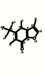 Cc1c(C(F)(F)F)n(C)c2c(C)coc2c1=O